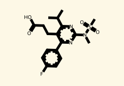 CC(C)c1nc(N(C)S(C)(=O)=O)nc(-c2ccc(F)cc2)c1CCC(=O)O